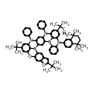 CC(C)(C)c1cc2c3c(c1)N(c1ccccc1)c1cc4c(cc1B3c1cc3cc(C(C)(C)C)oc3cc1O2)B1c2ccccc2N(c2ccc3c(c2)C(C)(C)CCC3(C)C)c2cc(C(C)(C)C)cc(c21)N4c1ccccc1